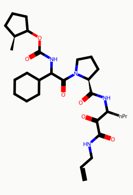 C=CCNC(=O)C(=O)C(CCC)NC(=O)[C@@H]1CCCN1C(=O)C(NC(=O)OC1CCC[C@@H]1C)C1CCCCC1